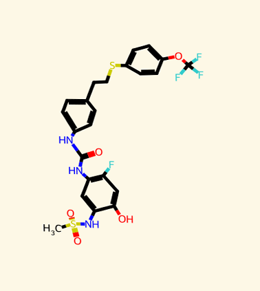 CS(=O)(=O)Nc1cc(NC(=O)Nc2ccc(CCSc3ccc(OC(F)(F)F)cc3)cc2)c(F)cc1O